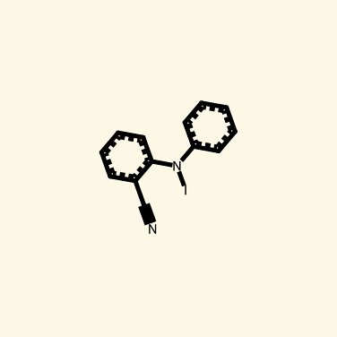 N#Cc1ccccc1N(I)c1ccccc1